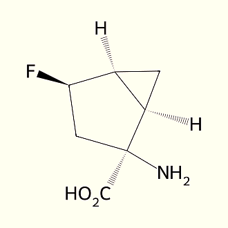 N[C@@]1(C(=O)O)C[C@@H](F)[C@H]2C[C@H]21